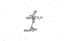 COc1cc(CCCCCO[C@@H]2CCN([C@H](C(=O)O)c3cc(C4CCOCC4)cc(F)c3OC)C2)nc2c1CCCN2